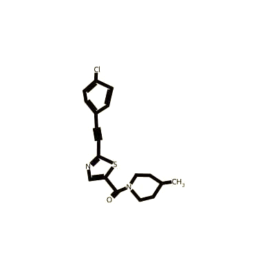 CC1CCN(C(=O)c2cnc(C#Cc3ccc(Cl)cc3)s2)CC1